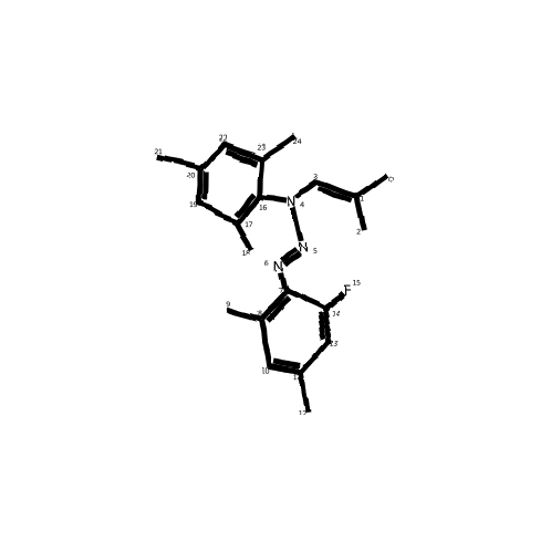 CC(C)=CN(/N=N/c1c(C)cc(C)cc1F)c1c(C)cc(C)cc1C